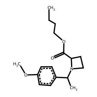 CCCCOC(=O)C1CCN1C(C)c1ccc(OC)cc1